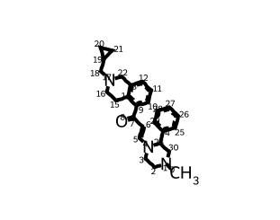 CN1CCN(/C=C/C(=O)c2cccc3c2CCN(CC2CC2)C3)C(c2ccccc2)C1